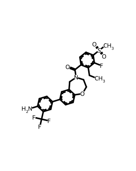 CCc1c(C(=O)N2CCOc3ccc(-c4ccc(N)c(C(F)(F)F)c4)cc3C2)ccc(S(C)(=O)=O)c1F